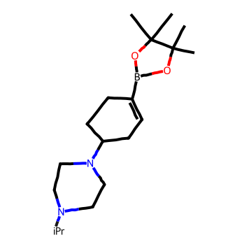 CC(C)N1CCN(C2CC=C(B3OC(C)(C)C(C)(C)O3)CC2)CC1